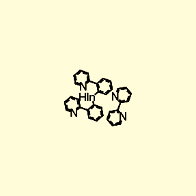 c1ccc(-c2cccc[c]2[InH][c]2ccccc2-c2ccccn2)nc1.c1ccc(-c2ccccn2)nc1